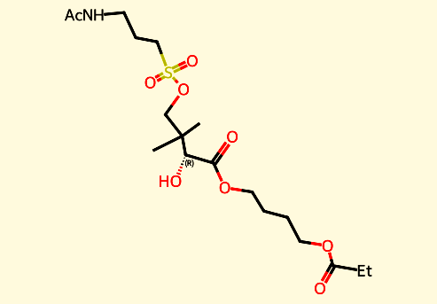 CCC(=O)OCCCCOC(=O)[C@H](O)C(C)(C)COS(=O)(=O)CCCNC(C)=O